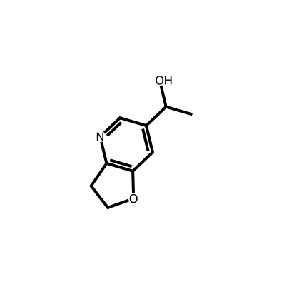 CC(O)c1cnc2c(c1)OCC2